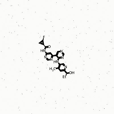 CC[C@H](O)c1cc(C)c(Nc2ncncc2-c2cc(NC(=O)[C@H]3C[C@H]3F)ncn2)cn1